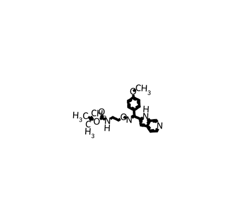 COc1ccc(C(=NOCCNC(=O)OC(C)(C)C)c2cc3ccncc3[nH]2)cc1